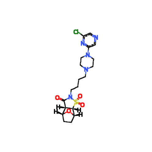 O=C1[C@@H]2[C@@H]([C@@H]3CC[C@H]2O3)S(=O)(=O)N1CCCCN1CCN(c2cncc(Cl)n2)CC1